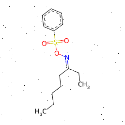 CCCCCC(CC)=NOS(=O)(=O)c1ccccc1